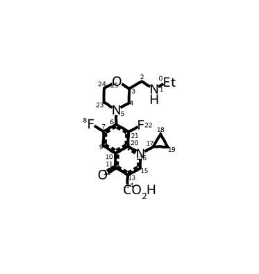 CCNCC1CN(c2c(F)cc3c(=O)c(C(=O)O)cn(C4CC4)c3c2F)CCO1